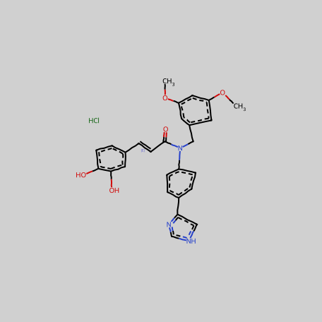 COc1cc(CN(C(=O)/C=C/c2ccc(O)c(O)c2)c2ccc(-c3c[nH]cn3)cc2)cc(OC)c1.Cl